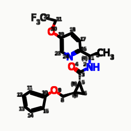 C[C@@H](NC(=O)[C@@H]1C[C@H]1COc1ccccc1)c1ccc(OCC(F)(F)F)cn1